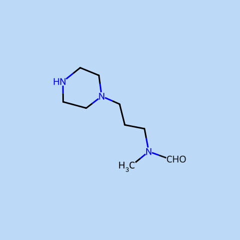 CN(C=O)CCCN1CCNCC1